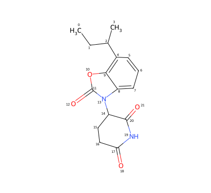 CCC(C)c1cccc2c1oc(=O)n2C1CCC(=O)NC1=O